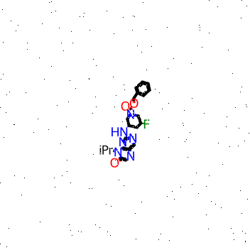 CC(C)n1c(=O)cnc2cnc(N[C@H]3C[C@H](F)CN(C(=O)OCc4ccccc4)C3)nc21